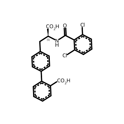 O=C(O)c1ccccc1-c1ccc(C[C@H](NC(=O)c2c(Cl)cccc2Cl)C(=O)O)cc1